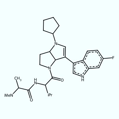 CNC(C)C(=O)NC(C(=O)N1CCC2C1C(c1c[nH]c3cc(F)ccc13)=CN2C1CCCC1)C(C)C